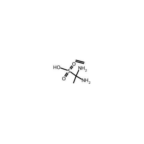 C=C.CC(N)(N)S(=O)(=O)O